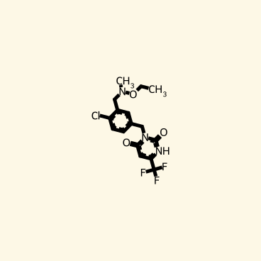 CCON(C)Cc1cc(Cn2c(=O)cc(C(F)(F)F)[nH]c2=O)ccc1Cl